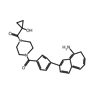 NC1=c2cc(-c3ccc(C(=O)N4CCN(C(=O)C5(O)CC5)CC4)cc3)ccc2=CC=CC1